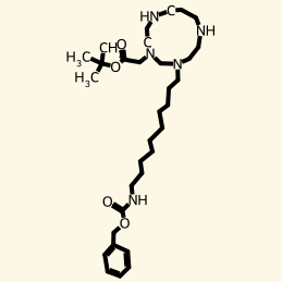 CC(C)(C)OC(=O)CN1CCNCCCNCCN(CCCCCCCCCCNC(=O)OCc2ccccc2)C1